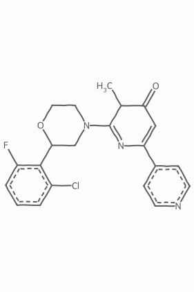 CC1C(=O)C=C(c2ccncc2)N=C1N1CCOC(c2c(F)cccc2Cl)C1